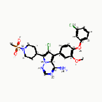 COc1cc(-c2c(Cl)c(C3CCN(S(C)(=O)=O)CC3)n3ncnc(N)c23)ccc1Oc1cccc(Cl)c1